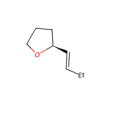 CC/C=C/[C@@H]1CCCO1